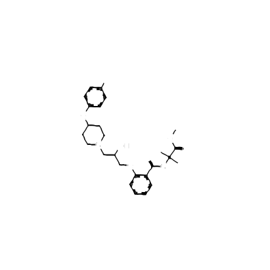 COC(=O)C(C)(C)NC(=O)c1ccccc1OCC(O)CN1CCC(Oc2ccc(Cl)cc2)CC1